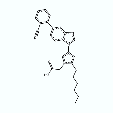 CCCCCCc1nc(-n2cnc3cc(-c4ccccc4C#N)ccc32)cn1CC(=O)O